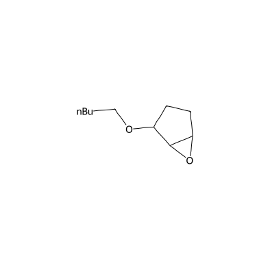 CCCCCOC1CCC2OC12